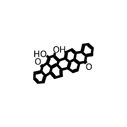 O=C1c2ccccc2-c2ccc3c4c(O)c(O)c5c6c(ccc(c7ccc1c2c73)c64)-c1ccccc1C5=O